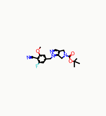 COc1cc(Cn2ncc3c2CN(C(=O)OC(C)(C)C)C3)cc(F)c1C#N